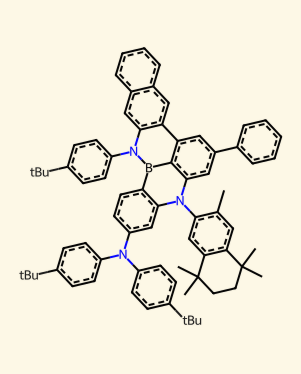 Cc1cc2c(cc1N1c3cc(N(c4ccc(C(C)(C)C)cc4)c4ccc(C(C)(C)C)cc4)ccc3B3c4c(cc(-c5ccccc5)cc41)-c1cc4ccccc4cc1N3c1ccc(C(C)(C)C)cc1)C(C)(C)CCC2(C)C